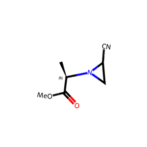 COC(=O)[C@@H](C)N1CC1C#N